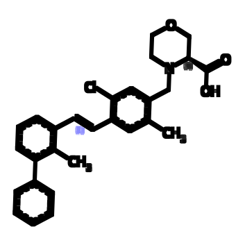 Cc1cc(/C=C/c2cccc(-c3ccccc3)c2C)c(Cl)cc1CN1CCOC[C@H]1C(=O)O